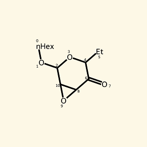 CCCCCCOC1OC(CC)C(=O)C2OC12